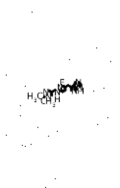 CC(C)c1ncc(CNc2ccc(Cc3c[nH]c4ncncc34)c(F)n2)cn1